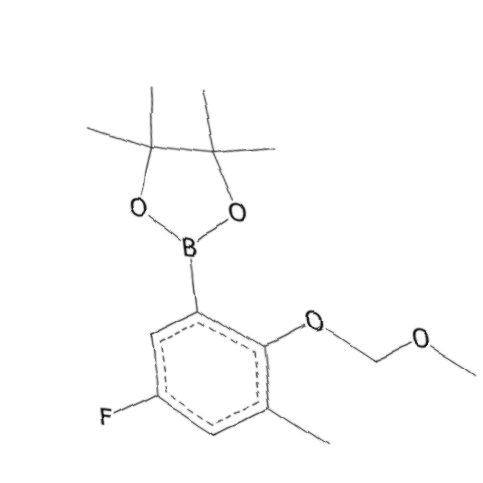 COCOc1c(C)cc(F)cc1B1OC(C)(C)C(C)(C)O1